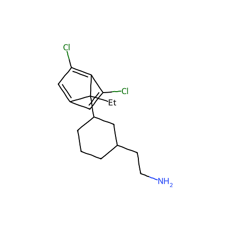 CCC1(C2CCCC(CCN)C2)C2=CC(Cl)=C1C(Cl)=C2